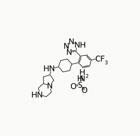 FC(F)(F)c1ccc(C2CCC(NC3CC4CNCCN4C3)CC2)c(-c2nnn[nH]2)c1.N[SH](=O)=O